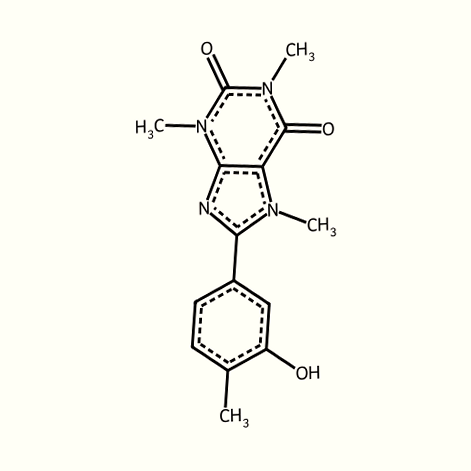 Cc1ccc(-c2nc3c(c(=O)n(C)c(=O)n3C)n2C)cc1O